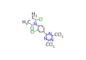 CC(Cl)N(c1ccc(-c2nc(C(Cl)(Cl)Cl)nc(C(Cl)(Cl)Cl)n2)cc1Cl)C(C)Cl